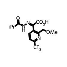 COCc1nc(C(F)(F)F)ccc1/C(=N\NC(=O)C(C)C)C(=O)O